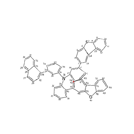 c1cc(-c2ccc3sc4ccccc4c3c2)cc(N(c2cccc(-c3cccc4ccccc34)c2)c2ccccc2-c2ccc3c(c2)oc2ccccc23)c1